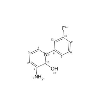 NC1=CC=CN(c2cccc(F)c2)C1O